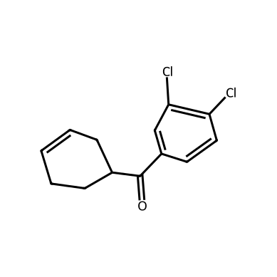 O=C(c1ccc(Cl)c(Cl)c1)C1CC=CCC1